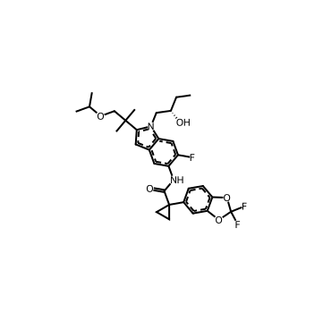 CC[C@H](O)Cn1c(C(C)(C)COC(C)C)cc2cc(NC(=O)C3(c4ccc5c(c4)OC(F)(F)O5)CC3)c(F)cc21